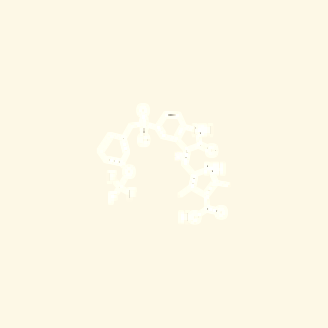 Cc1[nH]c(/C=C2\C(=O)Nc3ccc(S(=O)(=O)Cc4cccc(OC(F)(F)F)c4)cc32)c(C)c1C(=O)O